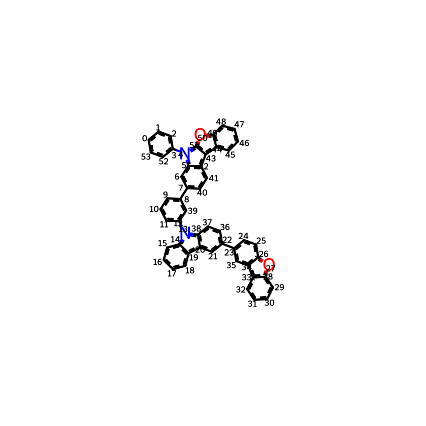 c1ccc(-n2c3cc(-c4cccc(-n5c6ccccc6c6cc(-c7ccc8oc9ccccc9c8c7)ccc65)c4)ccc3c3c4ccccc4oc32)cc1